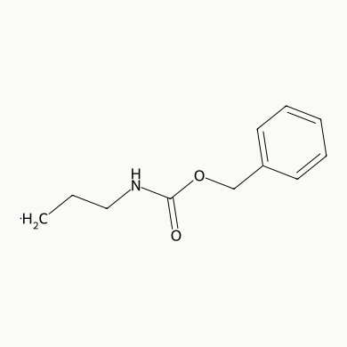 [CH2]CCNC(=O)OCc1ccccc1